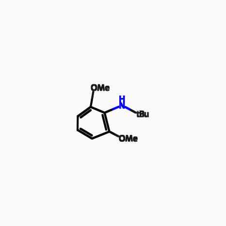 COc1cccc(OC)c1NC(C)(C)C